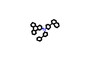 c1ccc(-c2cccc(N(c3ccc(-c4cccc5ccccc45)cc3)c3ccc4c5ccccc5c5ccccc5c4c3)c2)cc1